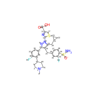 CN1CCC(c2cc(-c3nn(-c4nc(C(=O)O)cs4)c(CC4CC4)c3Cc3ccc([S+](N)[O-])c(F)c3)ccc2F)CC1